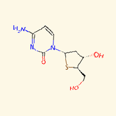 Nc1ccn(C2C[C@H](O)[C@@H](CO)S2)c(=O)n1